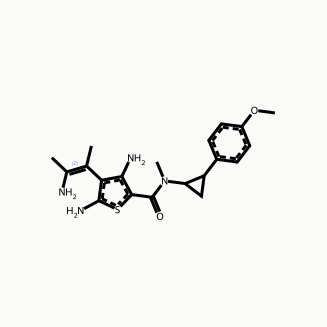 COc1ccc(C2CC2N(C)C(=O)c2sc(N)c(/C(C)=C(/C)N)c2N)cc1